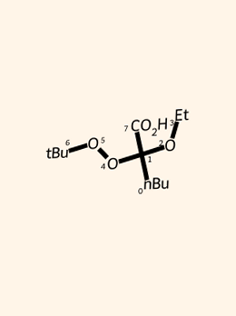 CCCCC(OCC)(OOC(C)(C)C)C(=O)O